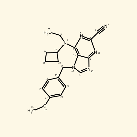 CCN(c1nc(C#N)nc2ncn(Cc3ccc(OC)cc3)c12)C1CCC1